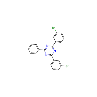 Brc1cccc(-c2nc(-c3ccccc3)nc(-c3cccc(Br)c3)n2)c1